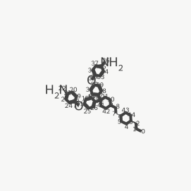 CCC[C@H]1CC[C@H](CCC2CCC(c3ccc(Oc4ccc(N)cc4)cc3)(c3ccc(Oc4ccc(N)cc4)cc3)CC2)CC1